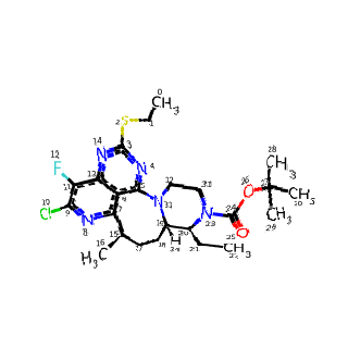 CCSc1nc2c3c(nc(Cl)c(F)c3n1)[C@H](C)CC[C@H]1[C@H](CC)N(C(=O)OC(C)(C)C)CCN21